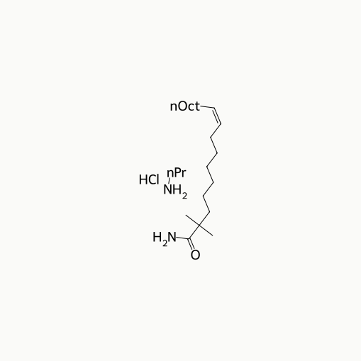 CCCCCCCC/C=C\CCCCCCC(C)(C)C(N)=O.CCCN.Cl